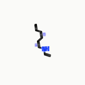 C=C/C=C\C=C/NC=C